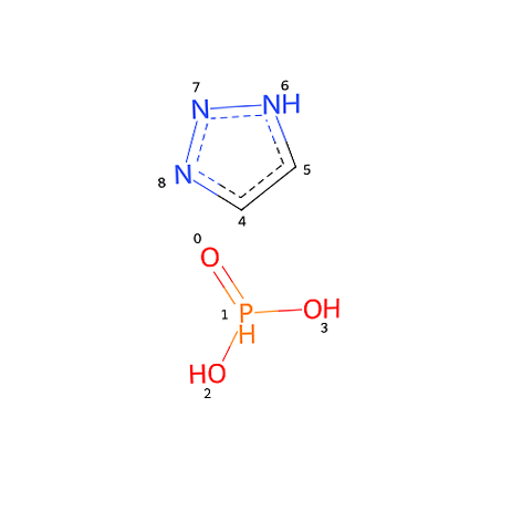 O=[PH](O)O.c1c[nH]nn1